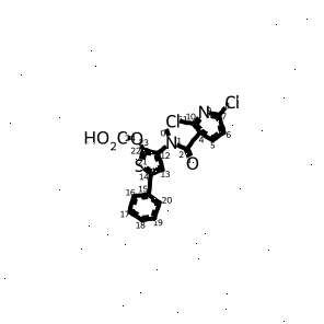 CN(C(=O)c1ccc(Cl)nc1Cl)c1cc(-c2ccccc2)sc1OC(=O)O